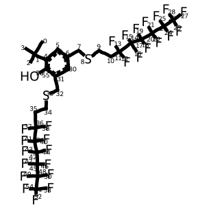 CC(C)(C)c1cc(CSCCC(F)(F)C(F)(F)C(F)(F)C(F)(F)C(F)(F)C(F)(F)F)cc(CSCCC(F)(F)C(F)(F)C(F)(F)C(F)(F)C(F)(F)C(F)(F)F)c1O